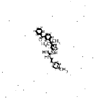 CN1CCN(CCNC(=N)Nc2cc(C(C)(C)c3cccc(C(=O)c4ccccc4)c3)no2)CC1